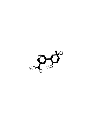 CC1(Cl)C=CC(O)C(c2cncc(C(=O)O)c2)=C1